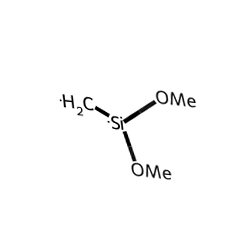 [CH2][Si](OC)OC